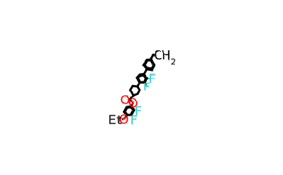 C=Cc1ccc(-c2ccc(C3CCC(C(=O)Oc4ccc(OCC)c(F)c4F)CC3)c(F)c2F)cc1